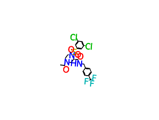 CC(=O)N1CCN(S(=O)(=O)c2cc(Cl)cc(Cl)c2)C(C(=O)NCc2ccc(C(F)(F)F)cc2)C1